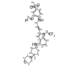 CC1(N2CCOCC2)CCC(Nc2cccc3c2cc(C#CCNc2ccc(S(C)(=O)=O)cc2OCF)n3CC(F)(F)F)CC1